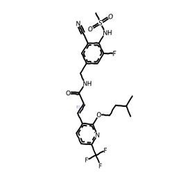 CC(C)CCOc1nc(C(F)(F)F)ccc1/C=C/C(=O)NCc1cc(F)c(NS(C)(=O)=O)c(C#N)c1